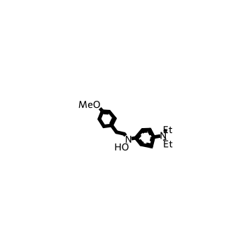 CCN(CC)c1ccc(N(O)CCC2=CC=C(OC)CC2)cc1